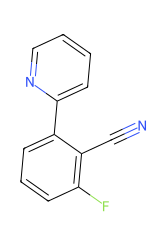 N#Cc1c(F)cccc1-c1ccccn1